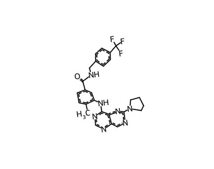 Cc1ccc(C(=O)NCc2ccc(C(F)(F)F)cc2)cc1Nc1ncnc2cnc(N3CCCC3)nc12